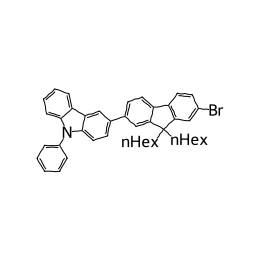 CCCCCCC1(CCCCCC)c2cc(Br)ccc2-c2ccc(-c3ccc4c(c3)c3ccccc3n4-c3ccccc3)cc21